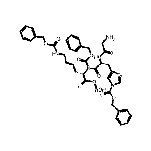 CCCCCCCCOC(=O)[C@H](CCCCNC(=O)OCc1ccccc1)N(C(=O)OCc1ccccc1)C(=O)[C@H](Cc1cn(C(=O)OCc2ccccc2)cn1)NC(=O)CN